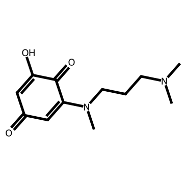 CN(C)CCCN(C)C1=CC(=O)C=C(O)C1=O